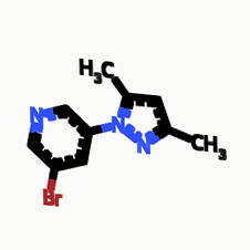 Cc1cc(C)n(-c2cncc(Br)c2)n1